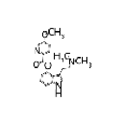 COc1ccc(C(=O)Oc2cccc3[nH]cc(CCN(C)C)c23)nc1